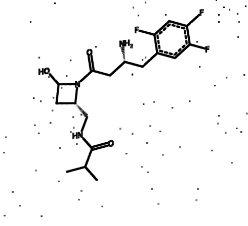 CC(C)C(=O)NC[C@@H]1CC(O)N1C(=O)C[C@H](N)Cc1cc(F)c(F)cc1F